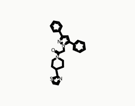 O=C(Cn1nc(-c2ccccc2)cc1-c1ccccc1)N1CCC(c2nccs2)CC1